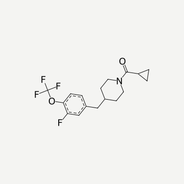 O=C(C1CC1)N1CCC(Cc2ccc(OC(F)(F)F)c(F)c2)CC1